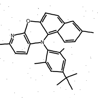 Cc1ccc2c3c(ccc2c1)Oc1nc(C)ccc1N3c1c(C)cc(C(C)(C)C)cc1C